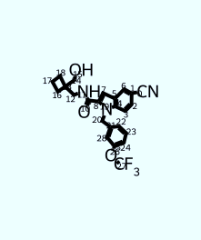 N#Cc1ccc2c(c1)cc(C(=O)NCC1(CO)CCC1)n2Cc1cccc(OC(F)(F)F)c1